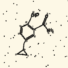 NC(=O)c1cc(C2CC2)ccc1C=O